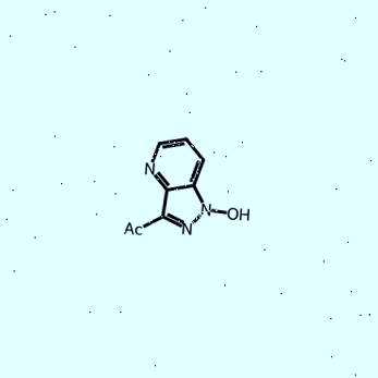 CC(=O)c1nn(O)c2cccnc12